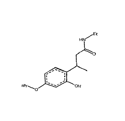 CCCOc1ccc(C(C)CC(=O)NCC)c(O)c1